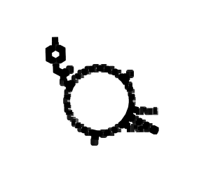 C=C=C=C=C1C(CCCCC)CCOC(=O)CCCCCCCC(OC(=O)CN2CCN(C)CC2)CCCCCCCC(=O)OCCC1CCCCC